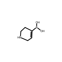 OB(O)C1=CCNCC1